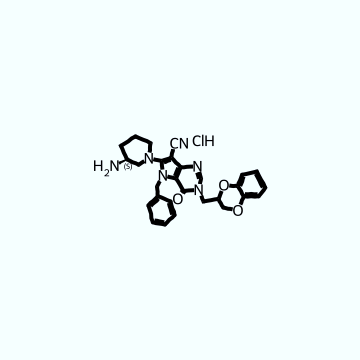 Cl.N#Cc1c(N2CCC[C@H](N)C2)n(Cc2ccccc2)c2c(=O)n(CC3COc4ccccc4O3)cnc12